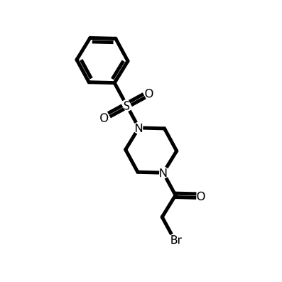 O=C(CBr)N1CCN(S(=O)(=O)c2ccccc2)CC1